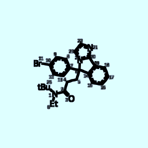 CCN(C(=O)CCC1(c2ccc(Br)cc2)c2ccccc2-c2nccn21)C(C)(C)C